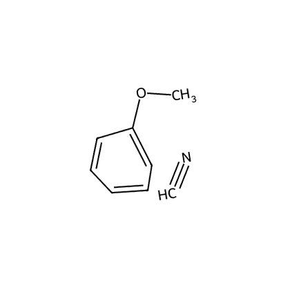 C#N.COc1ccccc1